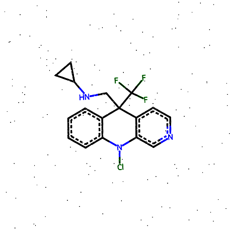 FC(F)(F)C1(CNC2CC2)c2ccccc2N(Cl)c2cnccc21